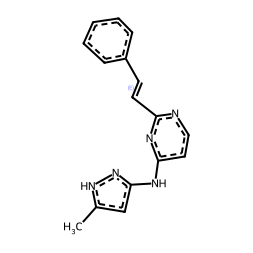 Cc1cc(Nc2ccnc(/C=C/c3ccccc3)n2)n[nH]1